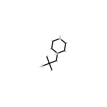 CC(C)([O])CN1CCOCC1